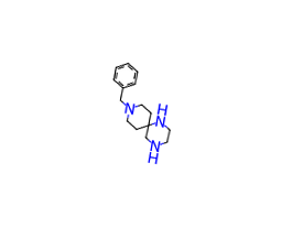 c1ccc(CN2CCC3(CC2)CNCCN3)cc1